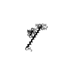 CCCCCCCCCCCCCCCCCC(=O)C(O)C(C)O.N.N.O=C(O)CCC(=O)O